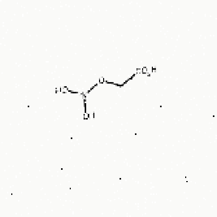 O=C(O)CON(O)O